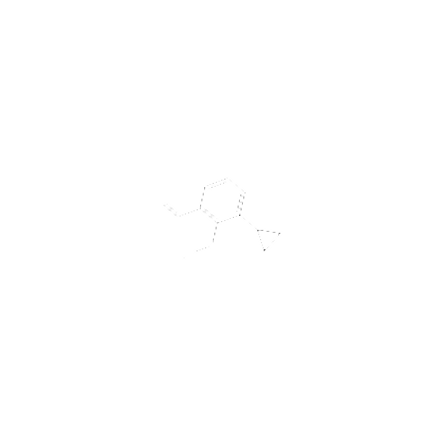 C=Cc1cccc(C2CC2)c1OC(F)(F)F